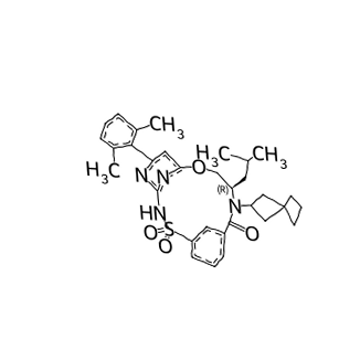 Cc1cccc(C)c1-c1cc2nc(n1)NS(=O)(=O)c1cccc(c1)C(=O)N(C1CC3(CCC3)C1)[C@H](CC(C)C)CO2